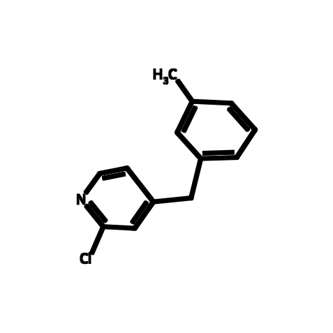 Cc1cccc(Cc2ccnc(Cl)c2)c1